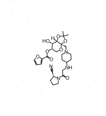 CC1(C)O[C@H]2[C@H](O)[C@H](OC(=O)c3ccco3)CO[C@@]2(CN2CCC(NCC(=O)N3CCC[C@H]3C#N)CC2)O1